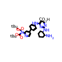 CC(C)(C)OC(=O)N(C(=O)OC(C)(C)C)c1cc(-c2ccc(Nc3nc(N[C@@H]4CCCC[C@@H]4N)ncc3C(=O)O)cc2)ccn1